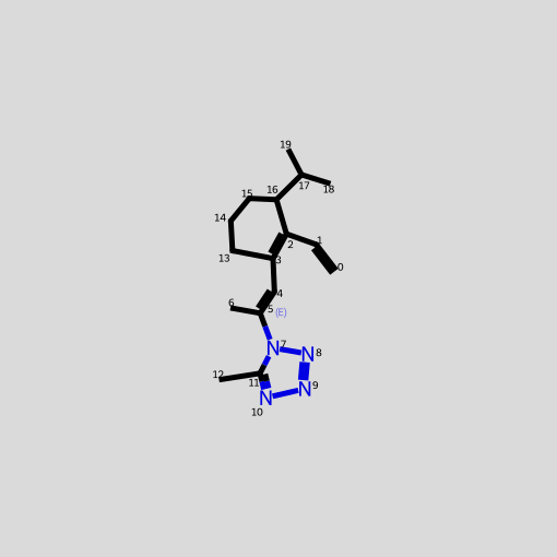 C=CC1=C(/C=C(\C)n2nnnc2C)CCCC1C(C)C